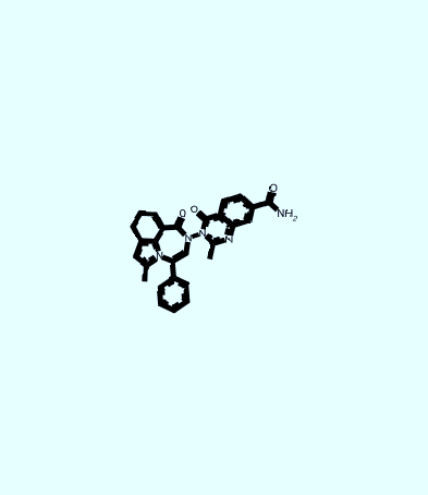 Cc1cc2c3n1C(c1ccccc1)=CN(n1c(C)nc4cc(C(N)=O)ccc4c1=O)C(=O)C3=CCC2